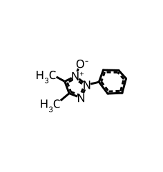 Cc1nn(-c2ccccc2)[n+]([O-])c1C